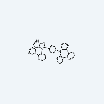 c1ccc(-c2ccccc2-n2c(-c3ccc(N4c5ccccc5-c5ccccc5-c5ccccc54)cc3)nc3ncccc32)cc1